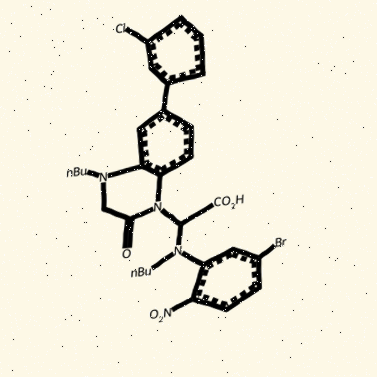 CCCCN1CC(=O)N(C(C(=O)O)N(CCCC)c2cc(Br)ccc2[N+](=O)[O-])c2ccc(-c3cccc(Cl)c3)cc21